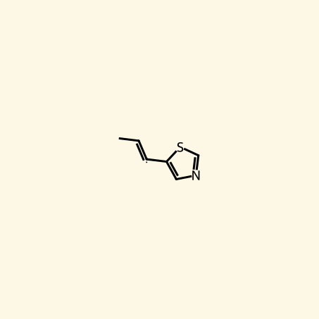 CC=[C]c1cncs1